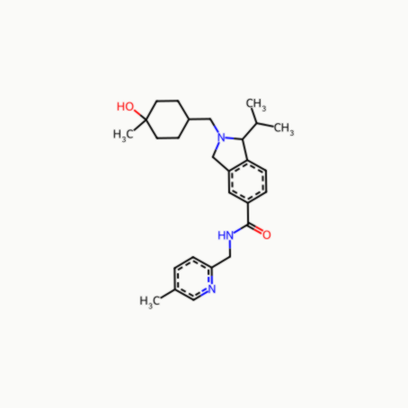 Cc1ccc(CNC(=O)c2ccc3c(c2)CN(CC2CCC(C)(O)CC2)C3C(C)C)nc1